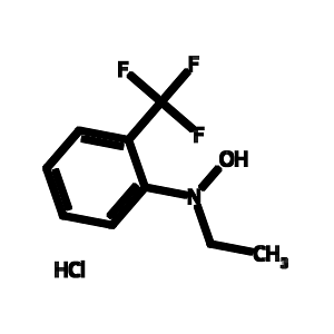 CCN(O)c1ccccc1C(F)(F)F.Cl